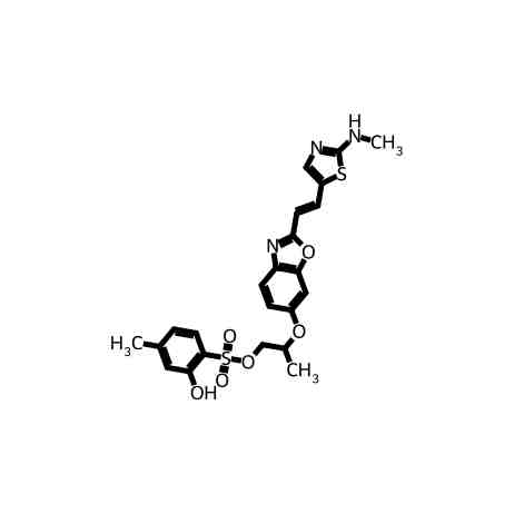 CNc1ncc(C=Cc2nc3ccc(OC(C)COS(=O)(=O)c4ccc(C)cc4O)cc3o2)s1